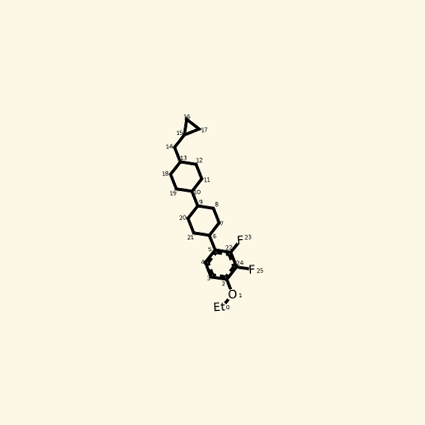 CCOc1ccc(C2CCC(C3CCC(CC4CC4)CC3)CC2)c(F)c1F